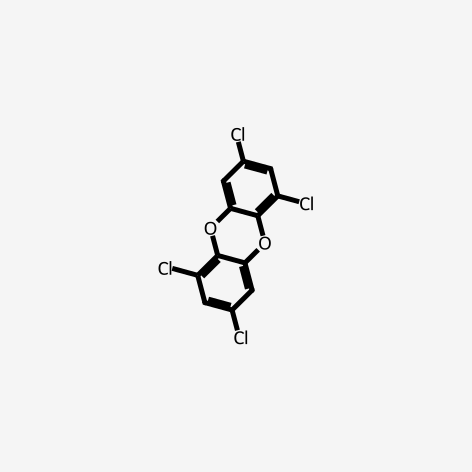 Clc1cc(Cl)c2c(c1)Oc1c(Cl)cc(Cl)cc1O2